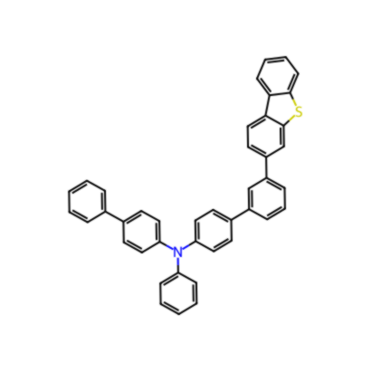 c1ccc(-c2ccc(N(c3ccccc3)c3ccc(-c4cccc(-c5ccc6c(c5)sc5ccccc56)c4)cc3)cc2)cc1